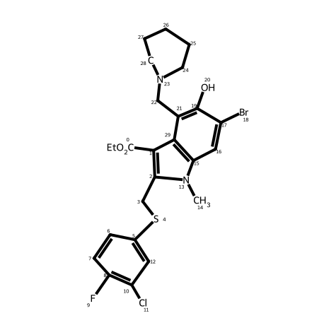 CCOC(=O)c1c(CSc2ccc(F)c(Cl)c2)n(C)c2cc(Br)c(O)c(CN3CCCCC3)c12